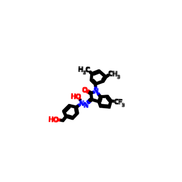 Cc1cc(C)cc(N2C(=O)C(=NN(O)c3ccc(CO)cc3)c3ccc(C(F)(F)F)cc32)c1